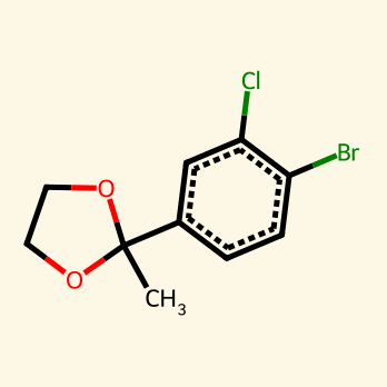 CC1(c2ccc(Br)c(Cl)c2)OCCO1